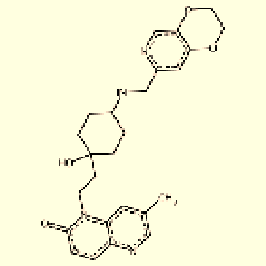 Cc1cnc2ccc(=O)n(CCC3(O)CCC(NCc4cc5c(cn4)OCCO5)CC3)c2c1